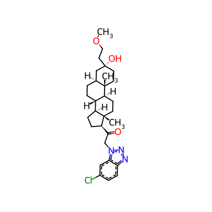 COCC[C@@]1(O)CC[C@@]2(C)[C@@H](CC[C@@H]3[C@@H]2CC[C@]2(C)[C@@H](C(=O)Cn4nnc5ccc(Cl)cc54)CC[C@@H]32)C1